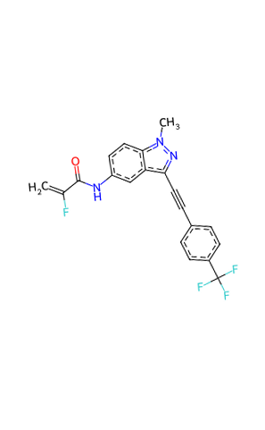 C=C(F)C(=O)Nc1ccc2c(c1)c(C#Cc1ccc(C(F)(F)F)cc1)nn2C